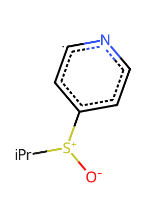 CC(C)[S+]([O-])c1c[c]ncc1